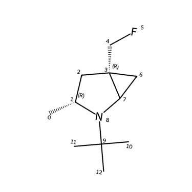 C[C@@H]1C[C@@]2(CF)CC2N1C(C)(C)C